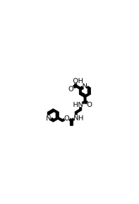 C=C(NCCNC(=O)c1ccnc(C(=O)O)c1)OCc1cccnc1